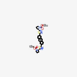 CC(C)(C)OC(=O)N1CCC[C@H]1c1nnc(-c2ccc3c(c2)C2CCC3c3cc(-c4nnc([C@@H]5CCCN5C(=O)OC(C)(C)C)s4)ccc32)s1